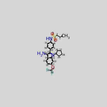 CCCS(=O)(=O)Nc1ccc(-c2c(N)c3ccc(OC(F)F)cc3n2C2CCCC2)cc1